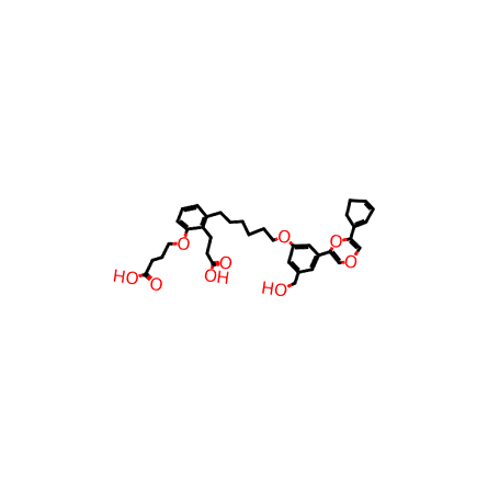 O=C(O)CCCOc1cccc(CCCCCCOc2cc(CO)cc(C3=COC=C(C4=CC=CCC4)O3)c2)c1CCC(=O)O